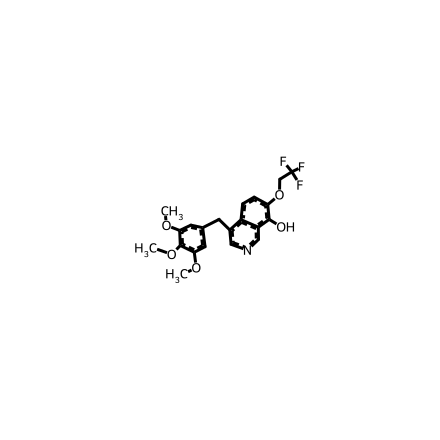 COc1cc(Cc2cncc3c(O)c(OCC(F)(F)F)ccc23)cc(OC)c1OC